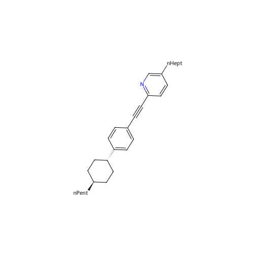 CCCCCCCc1ccc(C#Cc2ccc([C@H]3CC[C@H](CCCCC)CC3)cc2)nc1